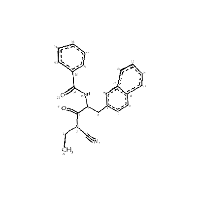 CCN(C#N)C(=O)C(Cc1ccc2ccccc2c1)NC(=O)c1ccccc1